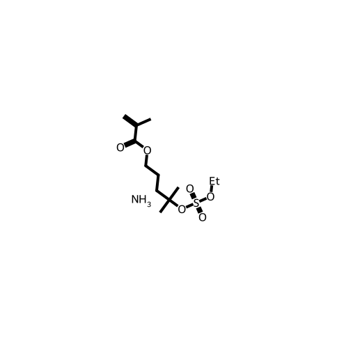 C=C(C)C(=O)OCCCC(C)(C)OS(=O)(=O)OCC.N